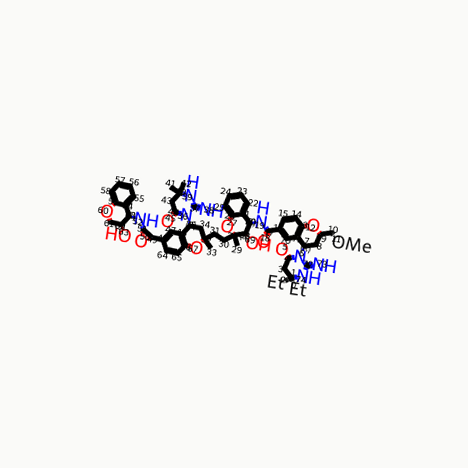 CCC1(CC)CC(=O)N([C@@H]2CC(COC)Oc3ccc(C(=O)N[C@@H]4c5ccccc5OC(C)(CCC5(C)C[C@@H](N6C(=N)NC(C)(C)CC6=O)c6cc(C7OC7N[C@@H]7c8ccccc8OC[C@H]7O)ccc6O5)[C@H]4O)cc32)C(=N)N1